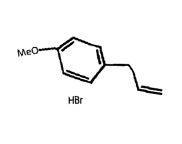 Br.C=CCc1ccc(OC)cc1